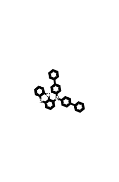 c1ccc(-c2ccc(N(c3ccc(-c4ccccc4)cc3)c3cccc4c3Oc3ccccc3S4)cc2)cc1